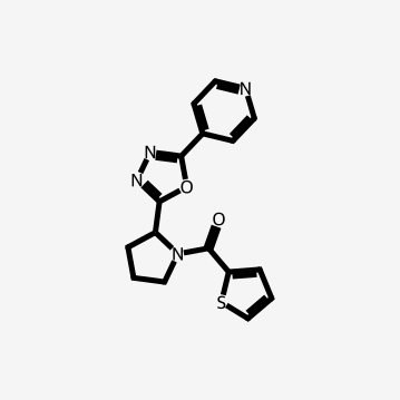 O=C(c1cccs1)N1CCCC1c1nnc(-c2ccncc2)o1